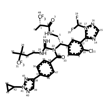 C[C@@H](C(=O)NC[C@H](c1ccc(Cl)c(-c2ncnn2C(F)F)c1)N(C(=N)NCCC(C)(C)C(F)(F)F)C(=O)c1ccc(-c2cnn(C3CC3)n2)cc1)C(F)(F)F